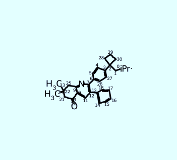 C[C](C)CC1(c2ccc(-c3nc4c(cc3-c3ccccc3)C(=O)CC(C)(C)C4)cc2)CCC1